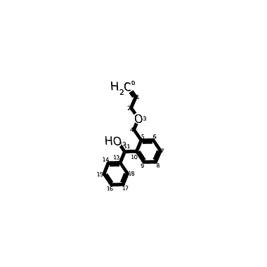 C=CCOCc1ccccc1C(O)c1ccccc1